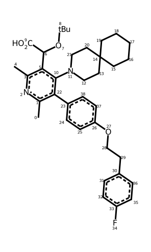 Cc1nc(C)c(C(OC(C)(C)C)C(=O)O)c(N2CCC3(CCCCC3)CC2)c1-c1ccc(OCCc2ccc(F)cc2)cc1